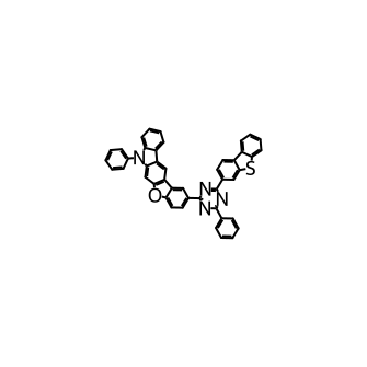 c1ccc(-c2nc(-c3ccc4c(c3)sc3ccccc34)nc(-c3ccc4oc5cc6c(cc5c4c3)c3ccccc3n6-c3ccccc3)n2)cc1